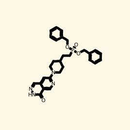 O=c1[nH]ncc2cc(N3CCC(CCP(=O)(OCc4ccccc4)OCc4ccccc4)CC3)ncc12